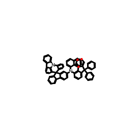 c1ccc(C2(c3ccccc3)c3ccccc3-c3c(N(c4ccc5c(c4)C4(c6ccccc6-5)c5ccccc5-n5c6ccccc6c6cccc4c65)c4cccc5ccccc45)cccc32)cc1